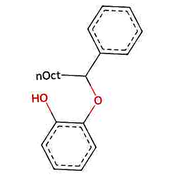 CCCCCCCCC(Oc1ccccc1O)c1ccccc1